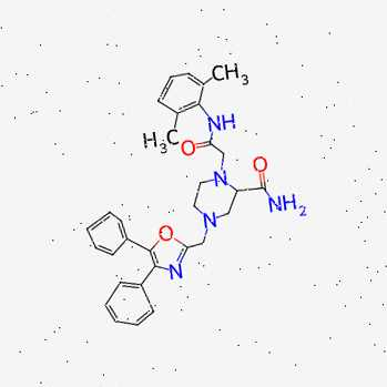 Cc1cccc(C)c1NC(=O)CN1CCN(Cc2nc(-c3ccccc3)c(-c3ccccc3)o2)CC1C(N)=O